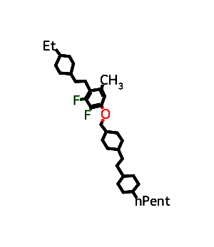 CCCCCC1CCC(CCC2CCC(COc3cc(C)c(CCC4CCC(CC)CC4)c(F)c3F)CC2)CC1